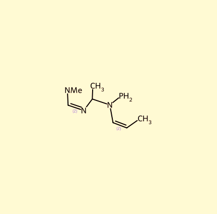 C/C=C\N(P)C(C)/N=C\NC